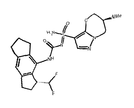 CN[C@@H]1COc2c(S(N)(=O)=NC(=O)Nc3c4c(cc5c3[C@H](C(F)F)CC5)CCC4)cnn2C1